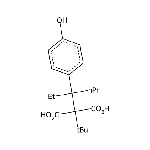 CCCC(CC)(c1ccc(O)cc1)C(C(=O)O)(C(=O)O)C(C)(C)C